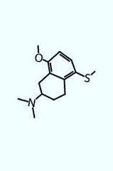 COc1ccc(SC)c2c1CC(N(C)C)CC2